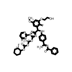 COc1cc(OCCO)c(F)c(C(Nc2ccc(C(N)=NC(=O)c3ccccc3)cc2)c2nc(O[C@H](C)OC(=O)OC3CCCC[C@@H]3F)n(-c3ncccn3)n2)c1